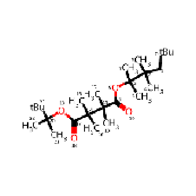 CC(C)(C)CC(C)(C)C(C)(C)OC(=O)C(C)(C)C(C)(C)C(=O)OC(C)(C)C(C)(C)C